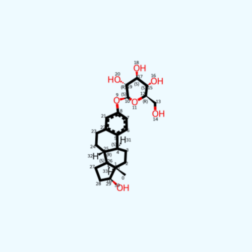 C[C@]12CC[C@@H]3c4ccc(O[C@@H]5O[C@H](CO)[C@@H](O)[C@H](O)[C@H]5O)cc4CC[C@H]3[C@@H]1CC[C@@H]2O